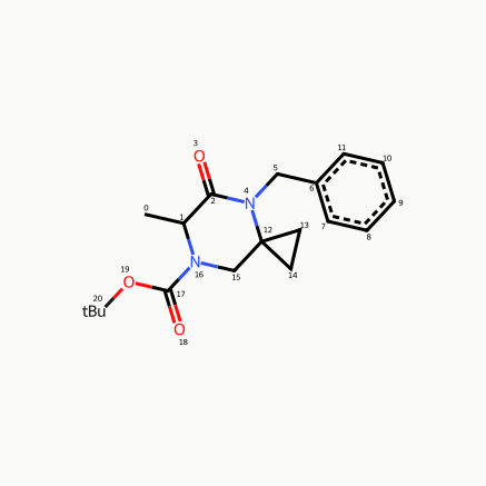 CC1C(=O)N(Cc2ccccc2)C2(CC2)CN1C(=O)OC(C)(C)C